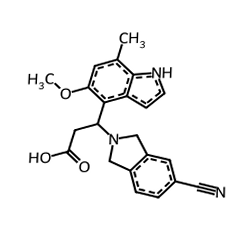 COc1cc(C)c2[nH]ccc2c1C(CC(=O)O)N1Cc2ccc(C#N)cc2C1